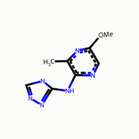 COc1cnc(NC2=NN=C[N]2)c(C)n1